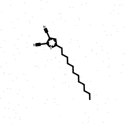 CCCCCCCCCCCCc1cc(C#N)c(C#N)s1